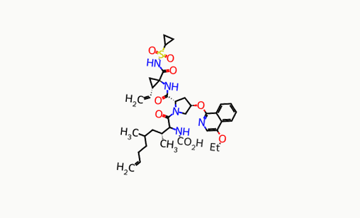 C=CCCC(C)C[C@@H](C)C(NC(=O)O)C(=O)N1C[C@H](Oc2ncc(OCC)c3ccccc23)C[C@H]1C(=O)N[C@]1(C(=O)NS(=O)(=O)C2CC2)C[C@H]1C=C